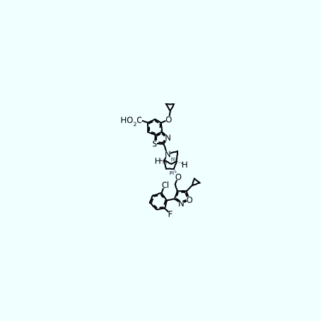 O=C(O)c1cc(OC2CC2)c2nc(N3C[C@@H]4C[C@H]3C[C@H]4OCc3c(-c4c(F)cccc4Cl)noc3C3CC3)sc2c1